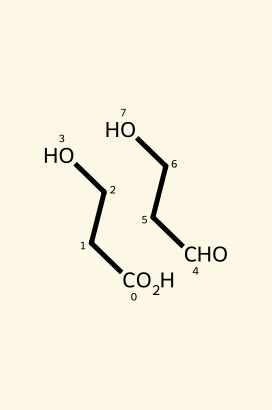 O=C(O)CCO.O=CCCO